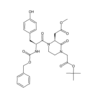 COC(=O)C[C@H]1C(=O)N(CC(=O)OC(C)(C)C)CCN1C(=O)[C@H](Cc1ccc(O)cc1)NC(=O)OCc1ccccc1